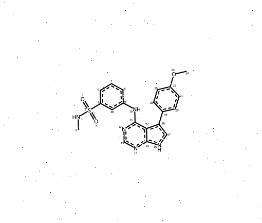 CNS(=O)(=O)c1cccc(Nc2ncnc3[nH]cc(-c4ccc(OC)cc4)c23)c1